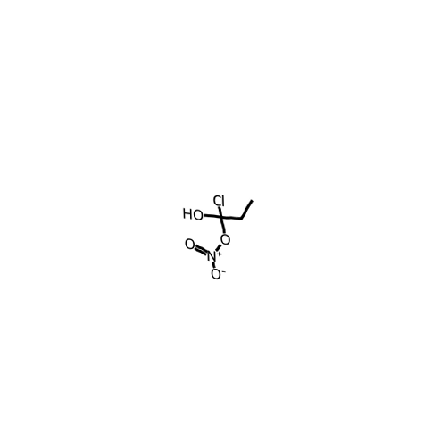 CCC(O)(Cl)O[N+](=O)[O-]